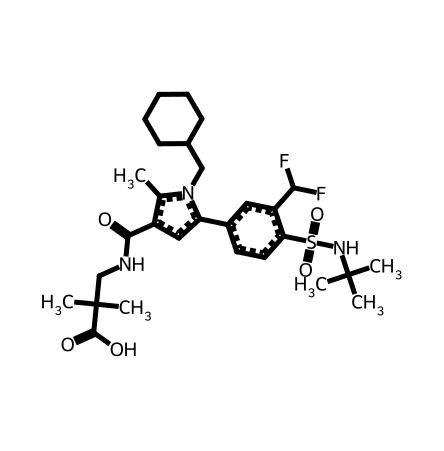 Cc1c(C(=O)NCC(C)(C)C(=O)O)cc(-c2ccc(S(=O)(=O)NC(C)(C)C)c(C(F)F)c2)n1CC1CCCCC1